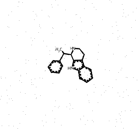 CC(c1ccccc1)C1NCCc2c1[nH]c1ccccc21